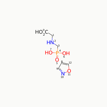 O=C(O)CNCP(=O)(O)O.c1cnoc1